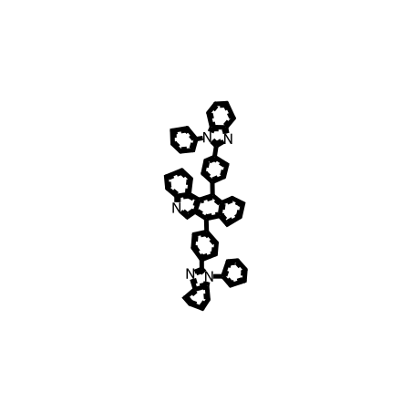 c1ccc(-n2c(-c3ccc(-c4c5ccccc5c(-c5ccc(-c6nc7ccccc7n6-c6ccccc6)cc5)c5c4cnc4ccccc45)cc3)nc3ccccc32)cc1